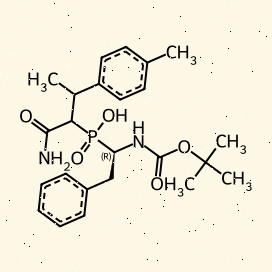 Cc1ccc(C(C)C(C(N)=O)P(=O)(O)[C@H](Cc2ccccc2)NC(=O)OC(C)(C)C)cc1